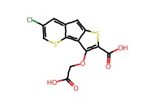 O=C(O)COc1c(C(=O)O)sc2cc3cc(Cl)csc-3c12